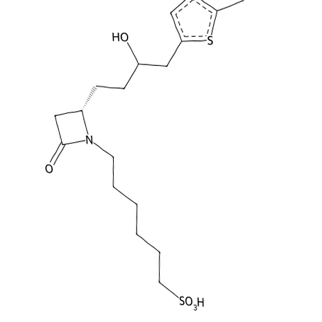 Cc1ccc(CC(O)CC[C@H]2CC(=O)N2CCCCCCS(=O)(=O)O)s1